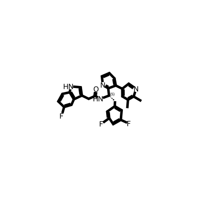 Cc1cc(-c2cccnc2[C@H](Cc2cc(F)cc(F)c2)NC(=O)Cc2c[nH]c3ccc(F)cc23)cnc1C